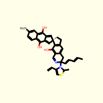 C=CC1=CSC(C)N1C1(/C=C/C=C/C)Cc2cc3c(c(O)c2C=N1)[C@]1(C=c2c(O)c4ccc(NC)cc4c(O)c2=C1)CC3